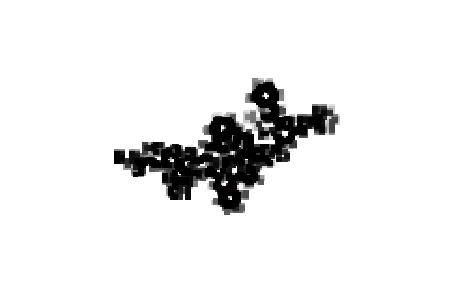 CC(C)C[C@H](NC(=O)[C@H](C)NC(=O)[C@H](CCCNC(=N)N)NC(=O)[C@@H](N)Cc1ccccc1)C(=O)N1CCC[C@H]1C(=O)N[C@@H](Cc1ccccc1)C(=O)N[C@@H](Cc1c[nH]c2ccccc12)C(=O)N[C@@H](CC(=O)O)C(=O)N[C@@H](CCC(N)=O)C(=O)O